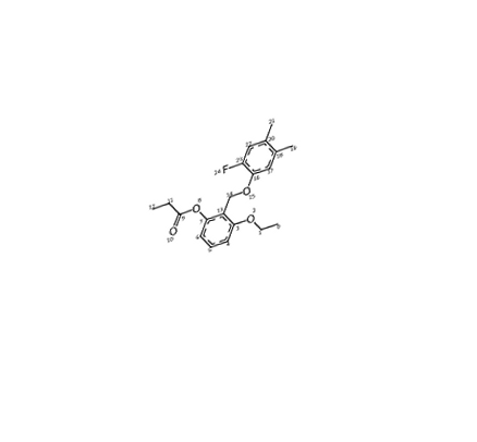 CCOc1cccc(OC(=O)CC)c1COc1cc(C)c(C)cc1F